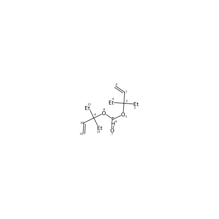 C=CC(CC)(CC)O[PH](=O)OC(C=C)(CC)CC